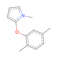 Cc1ccc(C)c(Oc2cc[c]n2C)c1